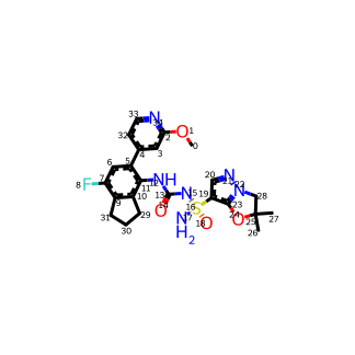 COc1cc(-c2cc(F)c3c(c2NC(=O)N=[S@@](N)(=O)c2cnn4c2OC(C)(C)C4)CCC3)ccn1